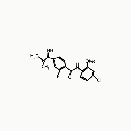 COc1cc(Cl)ccc1NC(=O)c1ccc(C(=N)N(C)C)cc1F